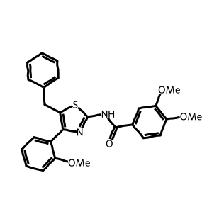 COc1ccc(C(=O)Nc2nc(-c3ccccc3OC)c(Cc3ccccc3)s2)cc1OC